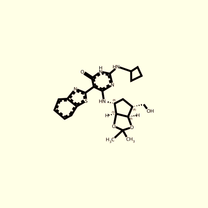 CC1(C)O[C@@H]2[C@@H](CO)C[C@@H](Nc3nc(NC4CCC4)[nH]c(=O)c3-c3nc4ccccc4s3)[C@@H]2O1